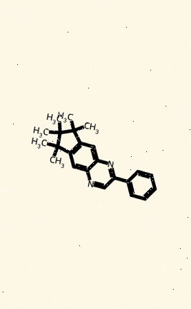 CC1(C)c2cc3ncc(-c4ccccc4)nc3cc2C(C)(C)C1(C)C